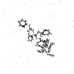 O=C(CCN(CCN(Cc1ccccn1)Cc1ccccn1)Cc1ccccn1)N[C@@H]1[C@@H](O)[C@H](O)[C@@H](CO)O[C@@H]1O